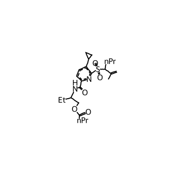 C=C(C)C(CCC)S(=O)(=O)c1nc(C(=O)NC(CC)COC(=O)CCC)ccc1C1CC1